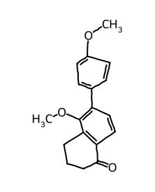 COc1ccc(-c2ccc3c(c2OC)CCCC3=O)cc1